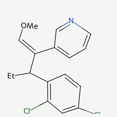 CCC(/C(=C/OC)c1cccnc1)c1ccc(Cl)cc1Cl